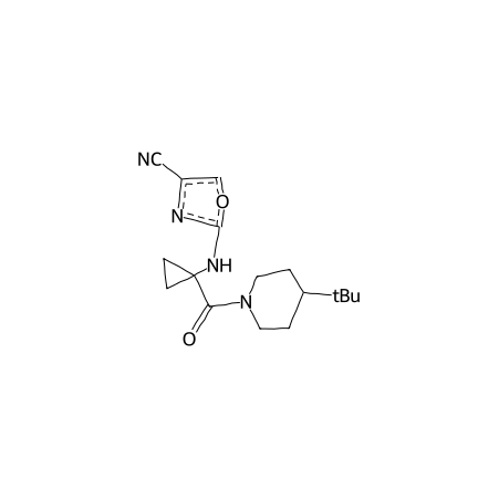 CC(C)(C)C1CCN(C(=O)C2(Nc3nc(C#N)co3)CC2)CC1